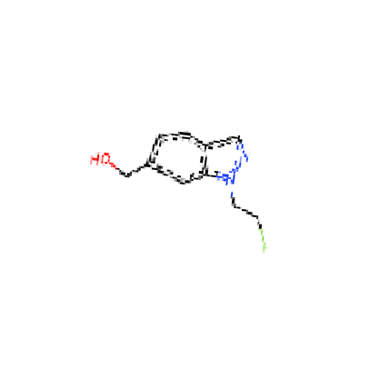 OCc1ccc2cnn(CCF)c2c1